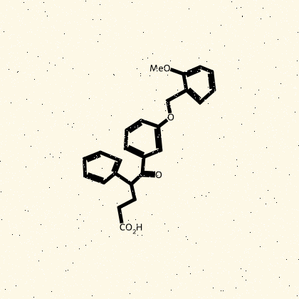 COc1ccccc1COc1cccc(C(=O)C(CCC(=O)O)c2ccccc2)c1